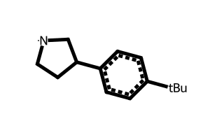 CC(C)(C)c1ccc(C2CC[N]C2)cc1